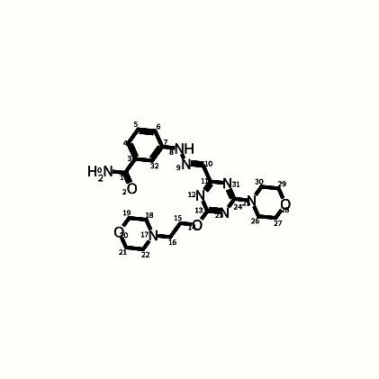 NC(=O)c1cccc(N/N=C/c2nc(OCCN3CCOCC3)nc(N3CCOCC3)n2)c1